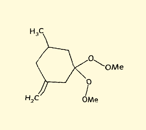 C=C1CC(C)CC(OOC)(OOC)C1